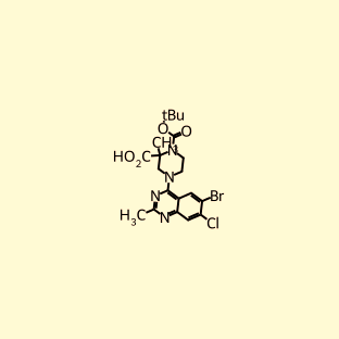 Cc1nc(N2CCN(C(=O)OC(C)(C)C)C(C)(C(=O)O)C2)c2cc(Br)c(Cl)cc2n1